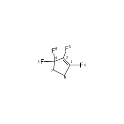 FC1=C(F)C(F)(F)CC1